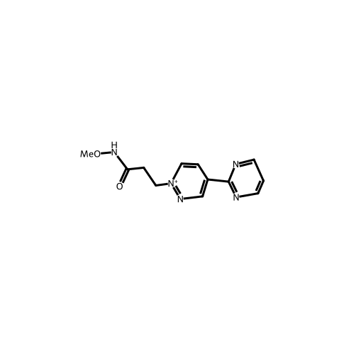 CONC(=O)CC[n+]1ccc(-c2ncccn2)cn1